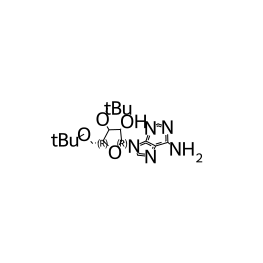 CC(C)(C)OC[C@H]1O[C@@H](n2cnc3c(N)ncnc32)C(O)C1OC(C)(C)C